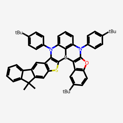 CC(C)(C)c1ccc(N2c3cccc4c3B(c3sc5cc6c(cc5c3N4c3ccc(C(C)(C)C)cc3)-c3ccccc3C6(C)C)c3c2oc2ccc(C(C)(C)C)cc32)cc1